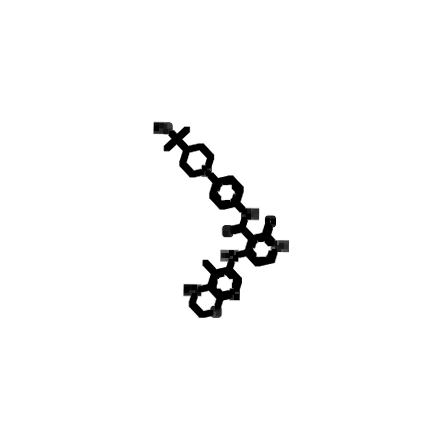 Cc1c(Nc2cc[nH]c(=O)c2C(=O)Nc2ccc(N3CCC(C(C)(C)O)CC3)cc2)cnc2c1NCCO2